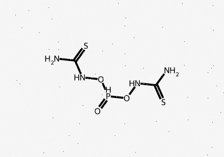 NC(=S)NO[PH](=O)ONC(N)=S